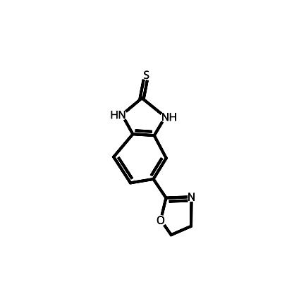 S=c1[nH]c2ccc(C3=NCCO3)cc2[nH]1